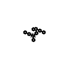 c1ccc(-c2ccc(-c3nc(-c4ccccc4)nc(-c4cccc(-c5c(-c6ccc(-c7ccccc7)cc6)ccc6ccccc56)c4)n3)cc2)cc1